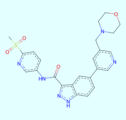 CS(=O)(=O)c1ccc(NC(=O)c2n[nH]c3ccc(-c4cncc(CN5CCOCC5)c4)cc23)cn1